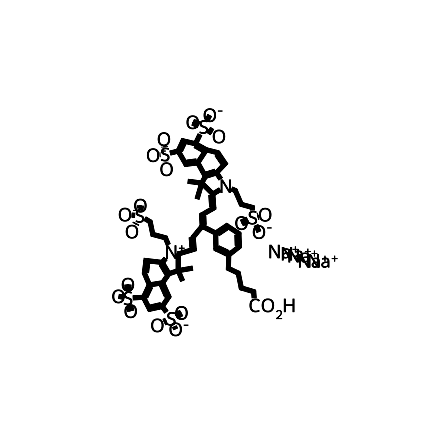 CC1(C)C(/C=C/C(=C/C=C2/N(CCCS(=O)(=O)[O-])c3ccc4c(S(=O)(=O)[O-])cc(S(=O)(=O)[O-])cc4c3C2(C)C)c2cccc(CCCCC(=O)O)c2)=[N+](CCCS(=O)(=O)[O-])c2ccc3c(S(=O)(=O)[O-])cc(S(=O)(=O)[O-])cc3c21.[Na+].[Na+].[Na+].[Na+].[Na+]